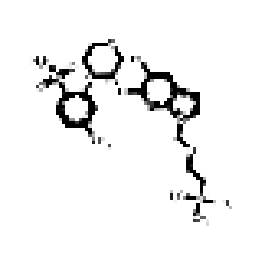 Cc1ccc(S(N)(=O)=O)c([C@H]2CCOC[C@@H]2Oc2nc3c(ccn3COCC[Si](C)(C)C)cc2Br)c1